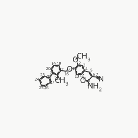 COc1cc(C=C(C#N)C(N)=O)ccc1OCc1cccc(-c2ccccc2)c1C